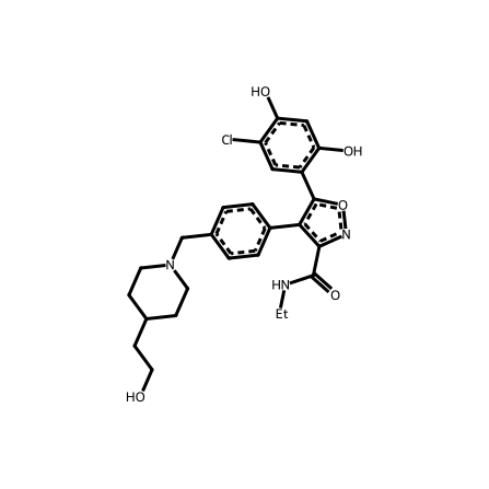 CCNC(=O)c1noc(-c2cc(Cl)c(O)cc2O)c1-c1ccc(CN2CCC(CCO)CC2)cc1